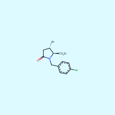 CCOC(=O)[C@@H]1[C@@H](C(C)C)CC(=O)N1Cc1ccc(F)cc1